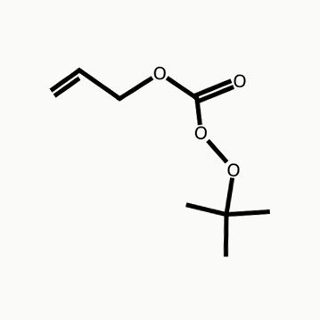 C=CCOC(=O)OOC(C)(C)C